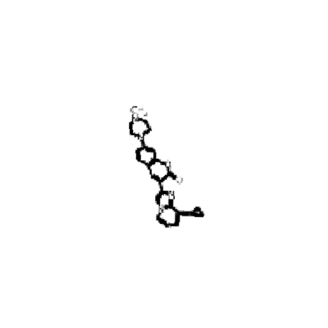 CN1CCN(c2ccc3cc(-c4cn5cccc(C6CC6)c5n4)c(=O)oc3c2)CC1